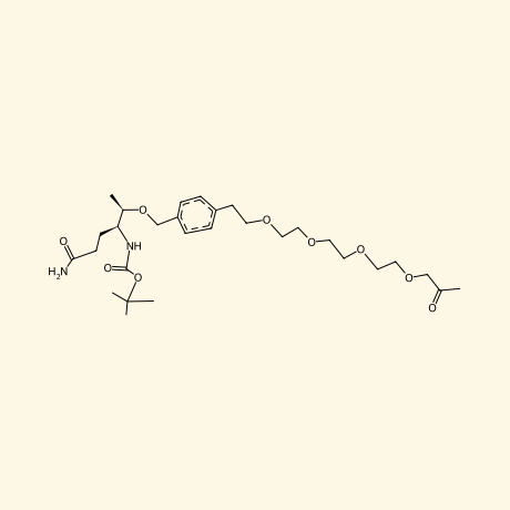 CC(=O)COCCOCCOCCOCCc1ccc(CO[C@H](C)[C@H](CCC(N)=O)NC(=O)OC(C)(C)C)cc1